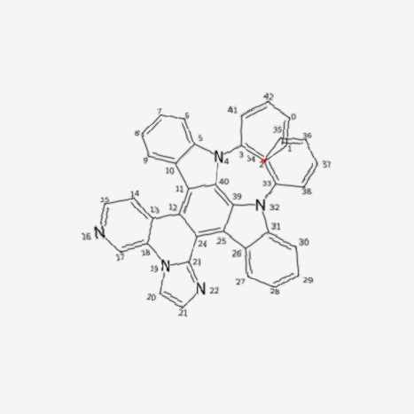 c1ccc(-n2c3ccccc3c3c4c5ccncc5n5ccnc5c4c4c5ccccc5n(-c5ccccc5)c4c32)cc1